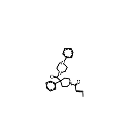 CC=CC(=O)N1CCC(C(=O)N2CCN(c3ccccc3)CC2)(c2ccccc2)CC1